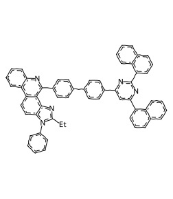 CCc1nc2c3c(-c4ccc(-c5ccc(-c6cc(-c7cccc8ccccc78)nc(-c7cccc8ccccc78)n6)cc5)cc4)nc4ccccc4c3ccc2n1-c1ccccc1